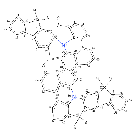 CCc1ccccc1N(c1cc2c(cc1CC)-c1ccccc1C2(C)C)c1cc2c3ccccc3c(N3c4ccccc4C(C)(C)c4cc5c(cc43)C(C)(C)c3ccccc3-5)cc2c2ccccc12